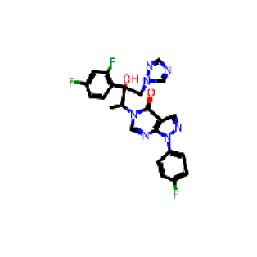 CC(n1cnc2c(cnn2-c2ccc(F)cc2)c1=O)C(O)(Cn1cncn1)c1ccc(F)cc1F